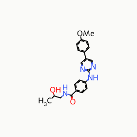 COc1ccc(-c2cnc(Nc3ccc(C(=O)NCC(C)O)cc3)nc2)cc1